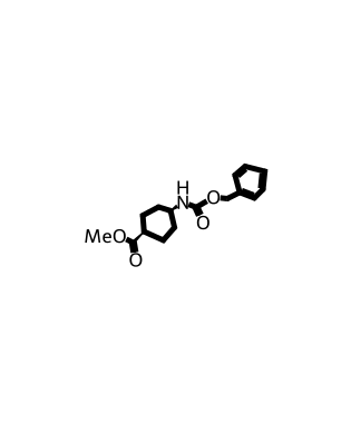 COC(=O)[C@H]1CC[C@@H](NC(=O)OCc2ccccc2)CC1